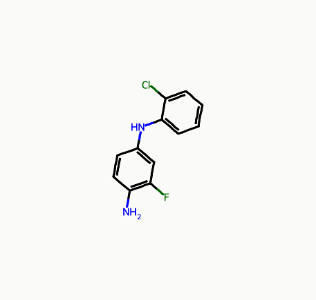 Nc1ccc(Nc2ccccc2Cl)cc1F